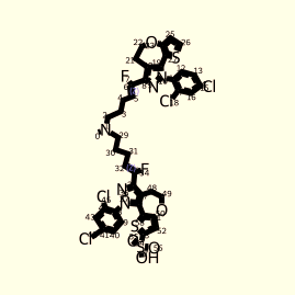 CN(CCC/C=C(\F)c1nn(-c2ccc(Cl)cc2Cl)c2c1CCOc1ccsc1-2)CCC/C=C(\F)c1nn(-c2ccc(Cl)cc2Cl)c2c1CCOc1cc(S(=O)(=O)O)sc1-2